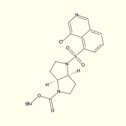 CC(C)(C)OC(=O)N1CC[C@H]2[C@@H]1CCN2S(=O)(=O)c1cccc2cncc(Cl)c12